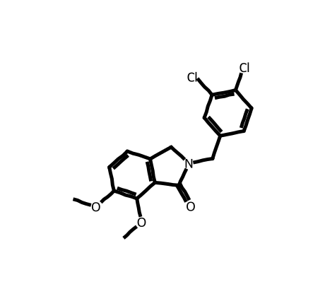 COc1ccc2c(c1OC)C(=O)N(Cc1ccc(Cl)c(Cl)c1)C2